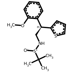 COc1ccccc1[C@H](CN[S+]([O-])C(C)(C)C)c1cccs1